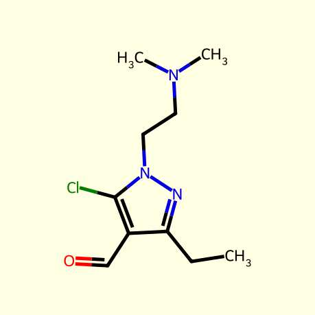 CCc1nn(CCN(C)C)c(Cl)c1C=O